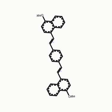 COc1ccc(/C=C/c2ccc(/C=C/c3ccc(OC)c4ccccc34)cc2)c2ccccc12